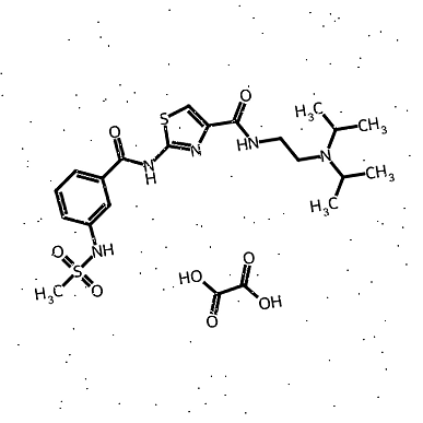 CC(C)N(CCNC(=O)c1csc(NC(=O)c2cccc(NS(C)(=O)=O)c2)n1)C(C)C.O=C(O)C(=O)O